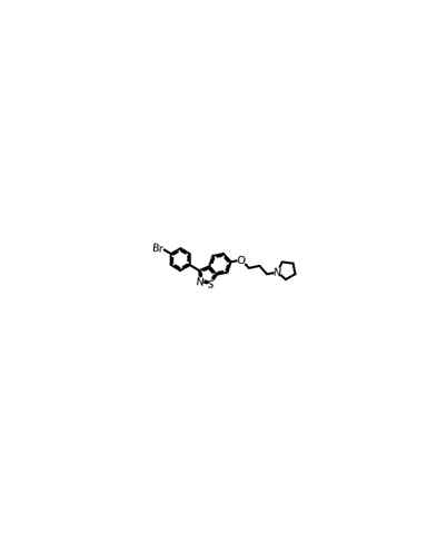 Brc1ccc(-c2nsc3cc(OCCCN4CCCC4)ccc23)cc1